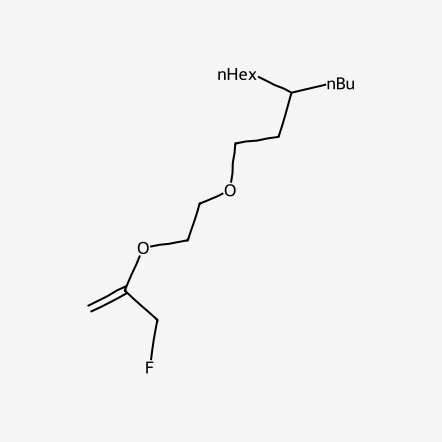 C=C(CF)OCCOCCC(CCCC)CCCCCC